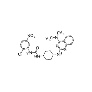 CN(C)c1nc(N[C@H]2CC[C@@H](NC(=O)Nc3cc([N+](=O)[O-])ccc3Cl)CC2)nc2ccccc12